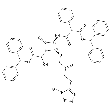 Cn1nnnc1SCC(=O)CO[C@@H]1[C@H](NC(=O)C(C(=O)OC(c2ccccc2)c2ccccc2)c2ccccc2)C(=O)N1C(O)C(=O)OC(c1ccccc1)c1ccccc1